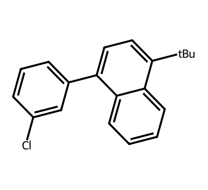 CC(C)(C)c1ccc(-c2cccc(Cl)c2)c2ccccc12